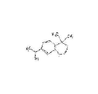 CC(O)c1ccc2c(c1)SCCC2(C)C